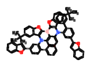 CC(C)(C)c1ccc2oc3c(c2c1)N(c1cc(-c2cc4ccccc4o2)ccc1-c1ccccc1)c1cccc2c1B3c1oc3ccc(C(C)(C)C)cc3c1N2c1cc(-c2cc3ccccc3o2)ccc1-c1ccccc1